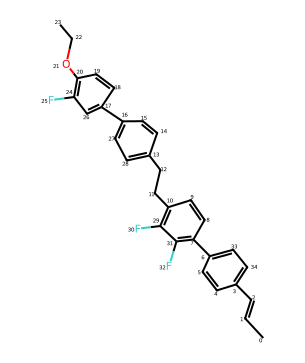 C/C=C/c1ccc(-c2ccc(CCc3ccc(-c4ccc(OCC)c(F)c4)cc3)c(F)c2F)cc1